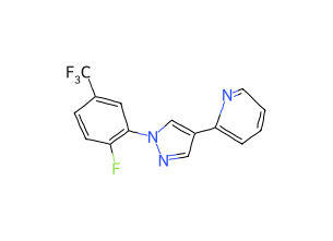 Fc1ccc(C(F)(F)F)cc1-n1cc(-c2ccccn2)cn1